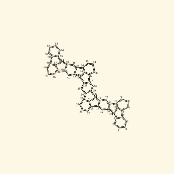 c1ccc2c(c1)c1cccc3c4cc5c(cc4n2c13)c1cccc2c3cc4c(cc3n5c12)c1cccc2c3cc5c(cc3n4c21)c1cccc2c3ccccc3n5c21